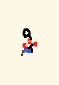 CCNC(=O)C(CC)C(=O)OCc1ccccc1